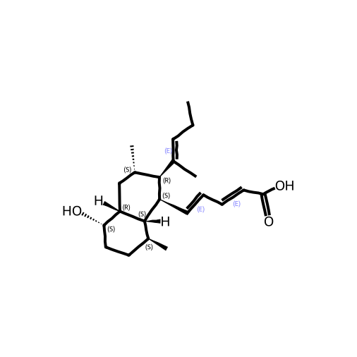 CC/C=C(\C)[C@H]1[C@@H](/C=C/C=C/C(=O)O)[C@H]2[C@@H](C[C@@H]1C)[C@@H](O)CC[C@@H]2C